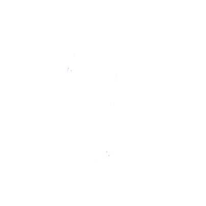 O=C=Nc1cc(Cl)c(Oc2ccc([N+](=O)[O-])cc2Cl)c(Cl)c1